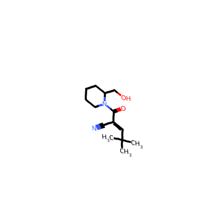 CC(C)(C)C=C(C#N)C(=O)N1CCCCC1CO